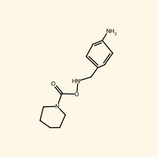 Nc1ccc(CNOC(=O)N2CCCCC2)cc1